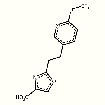 O=C(O)c1coc(CCc2ccc(OC(F)(F)F)nc2)n1